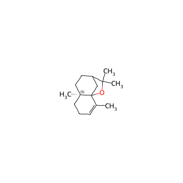 CC1=CCC[C@@]2(C)CCC3CC12OC3(C)C